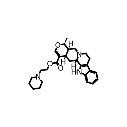 C[C@@H]1OC=C(C(=O)OCCN2CCCCC2)[C@H]2C[C@H]3c4[nH]c5ccccc5c4CCN3C[C@H]12